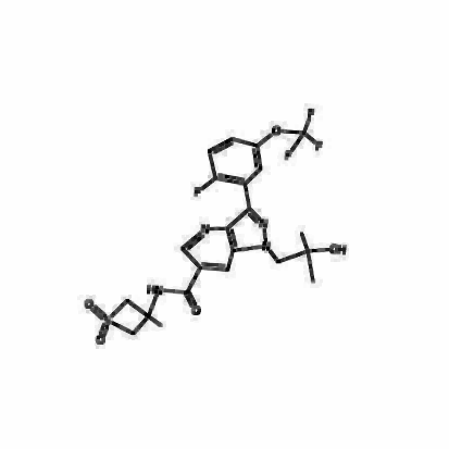 CC(C)(O)Cn1nc(-c2cc(OC(F)(F)F)ccc2F)c2ncc(C(=O)NC3(C)CS(=O)(=O)C3)cc21